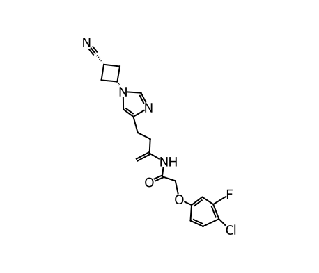 C=C(CCc1cn([C@H]2C[C@@H](C#N)C2)cn1)NC(=O)COc1ccc(Cl)c(F)c1